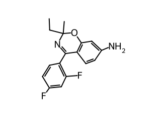 CCC1(C)N=C(c2ccc(F)cc2F)c2ccc(N)cc2O1